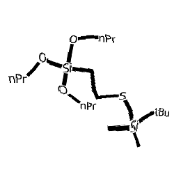 CCCO[Si](CCS[Si](C)(C)C(C)(C)C)(OCCC)OCCC